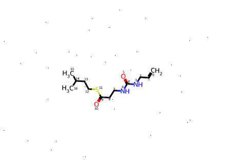 C=CCNC(=O)NCCC(=O)SCCC(C)C